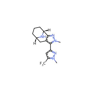 Cn1nc(-c2c3c(nn2C)[C@H]2CCC[C@@H](C3)N2)cc1C(F)(F)F